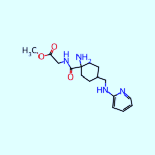 COC(=O)CNC(=O)C1(N)CCC(CNc2ccccn2)CC1